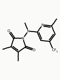 CC1=C(C)C(=O)N(N(C)c2cc(C(F)(F)F)cc(C)n2)C1=O